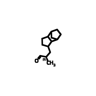 C[C@@H](C=O)CC1CCC2C3CCC(C3)C12